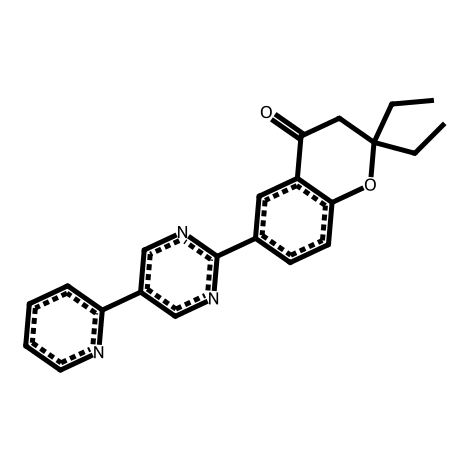 CCC1(CC)CC(=O)c2cc(-c3ncc(-c4ccccn4)cn3)ccc2O1